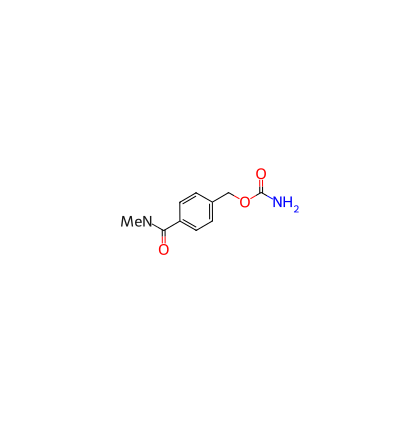 CNC(=O)c1ccc(COC(N)=O)cc1